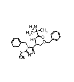 CC(C)(C)Sc1nnc(C(COCc2ccccc2)NC(=O)C(C)(C)N)n1Cc1ccccc1